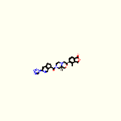 Cc1c([C@@H]2CN3CCN(C(=O)C4CCc5cc(-n6cnnn6)ncc54)C[C@H]3CO2)ccc2c1COC2=O